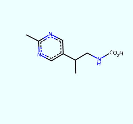 Cc1ncc(C(C)CNC(=O)O)cn1